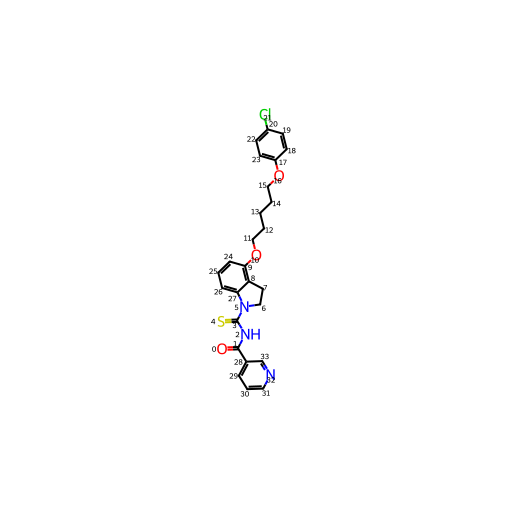 O=C(NC(=S)N1CCc2c(OCCCCCOc3ccc(Cl)cc3)cccc21)c1cccnc1